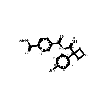 CNC(=O)c1ccc(C(=O)NC(=N)C2(c3ccc(Br)cc3)CCC2)cn1